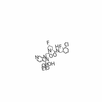 CCOP(=O)(O)c1nn(CC(=O)N2C[C@H](F)C[C@H]2C(=O)NCc2cccc(Cl)c2F)c2cnccc12